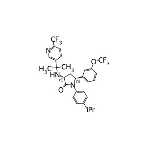 CC(C)c1ccc(N2C(=O)[C@@H](NC(C)(C)c3ccc(C(F)(F)F)nc3)C[C@H]2c2cccc(OC(F)(F)F)c2)cc1